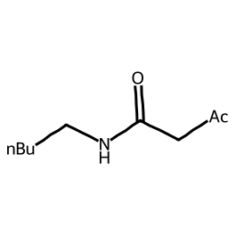 CCCCCNC(=O)CC(C)=O